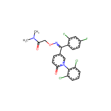 CN(C)C(=O)CO/N=C(\c1ccc(=O)n(-c2c(Cl)cccc2Cl)c1)c1ccc(F)cc1F